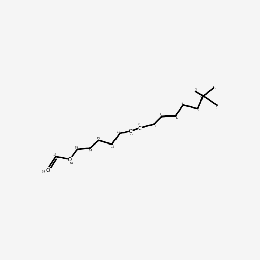 CC(C)(C)CCCCCCCCCCCCO[C]=O